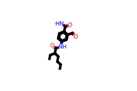 CCCCC(CC)C(=O)Nc1ccc(C([NH])=O)c(C=O)c1